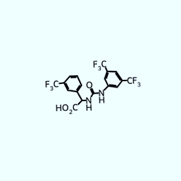 O=C(Nc1cc(C(F)(F)F)cc(C(F)(F)F)c1)NC(C(=O)O)c1cccc(C(F)(F)F)c1